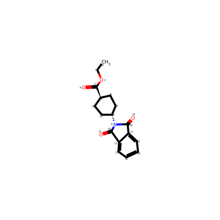 CCOC(=O)[C@H]1CC[C@H](N2C(=O)c3ccccc3C2=O)CC1